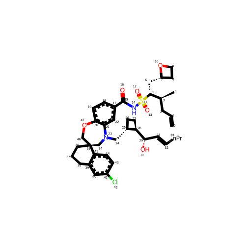 C=CC[C@H](C)[C@@H](C[C@H]1CCO1)S(=O)(=O)NC(=O)c1ccc2c(c1)N(C[C@@H]1CC[C@H]1[C@@H](O)/C=C/CCC)C[C@@]1(CCCc3cc(Cl)ccc31)CO2